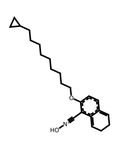 O[N+]#Cc1c(OCCCCCCCCCC2CC2)ccc2c1=CCCC=2